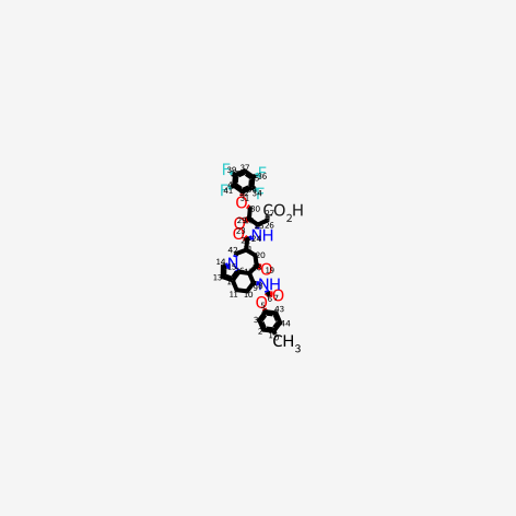 Cc1ccc(OC(=O)NC2CCc3ccn4c3C2C(=O)CC(C(=O)NC(CC(=O)O)C(=O)COc2c(F)c(F)cc(F)c2F)C4)cc1